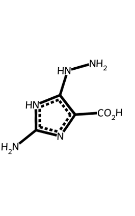 NNc1[nH]c(N)nc1C(=O)O